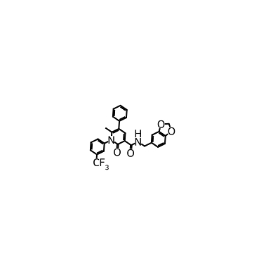 Cc1c(-c2ccccc2)cc(C(=O)NCc2ccc3c(c2)OCO3)c(=O)n1-c1cccc(C(F)(F)F)c1